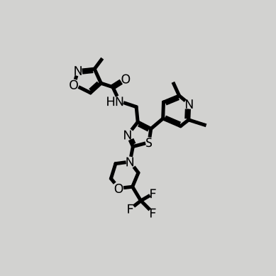 Cc1cc(-c2sc(N3CCOC(C(F)(F)F)C3)nc2CNC(=O)c2conc2C)cc(C)n1